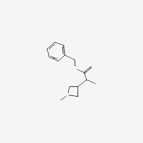 CC(C(=O)OCc1ccccc1)C1CN(C)C1